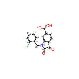 O=C(O)c1ccc2c(c1)N(Cc1ccccc1F)C(=O)C2=O